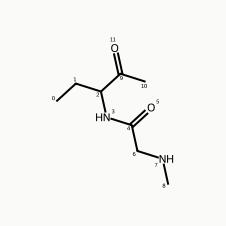 CCC(NC(=O)CNC)C(C)=O